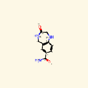 NC(=O)c1ccc2c(c1)CNC(=O)CN2